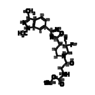 Cc1nn(C)c2cc(-c3noc(C4CCN(C(=O)CNC(=O)OC(C)(C)C)CC4(F)F)n3)ccc12